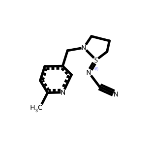 Cc1ccc(CN2CCC/S2=N\C#N)cn1